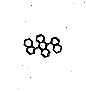 c1cc2c(c(-c3c4ccccc4c(-c4cccc5c4CCCC5)c4ccccc34)c1)CCCC2